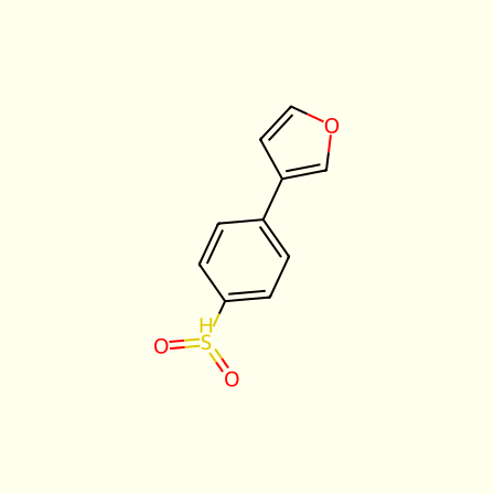 O=[SH](=O)c1ccc(-c2ccoc2)cc1